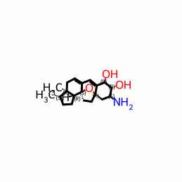 C[C@H]1CC[C@@H]2[C@]1(C)CC=C1C=C3[C@@H](O)[C@H](O)[C@@H](N)C[C@]34CC[C@@]12O4